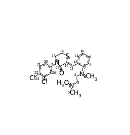 CN(C)CCN(C)c1ccccc1C=C1SCCN(c2ccc(Cl)c(Cl)c2)C1=O